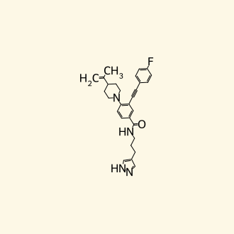 C=C(C)C1CCN(c2ccc(C(=O)NCCCc3cn[nH]c3)cc2C#Cc2ccc(F)cc2)CC1